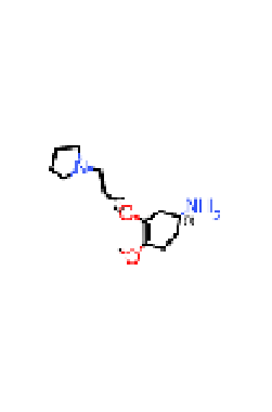 COC1=C(OCCCN2CCCC2)C[C@H](N)CC1